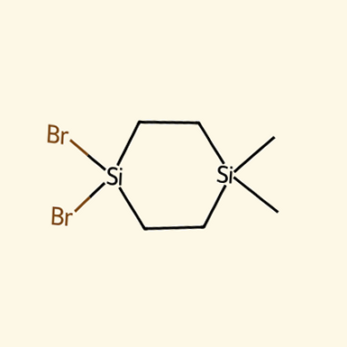 C[Si]1(C)CC[Si](Br)(Br)CC1